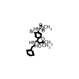 CC1(C)Oc2cc(NS(C)(=O)=O)c(Br)cc2[C@H](NCCc2ccccc2)[C@H]1O